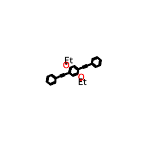 CCOc1cc(C#Cc2ccccc2)c(OCC)cc1C#Cc1ccccc1